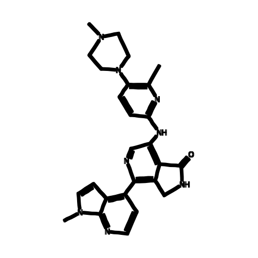 Cc1nc(Nc2cnc(-c3ccnc4c3ccn4C)c3c2C(=O)NC3)ccc1N1CCN(C)CC1